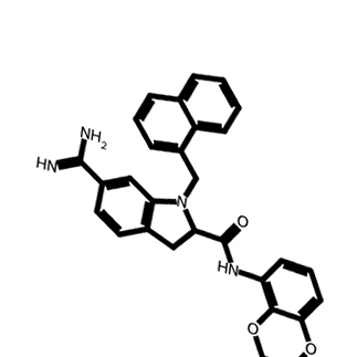 N=C(N)c1ccc2c(c1)N(Cc1cccc3ccccc13)C(C(=O)Nc1cccc3c1OCCO3)C2